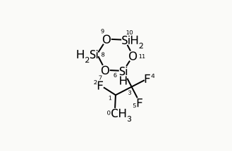 CC(F)C(F)(F)[SiH]1O[SiH2]O[SiH2]O1